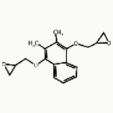 Cc1c(C)c(OCC2CO2)c2ccccc2c1OCC1CO1